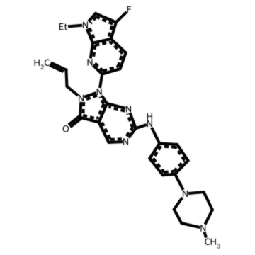 C=CCn1c(=O)c2cnc(Nc3ccc(N4CCN(C)CC4)cc3)nc2n1-c1ccc2c(F)cn(CC)c2n1